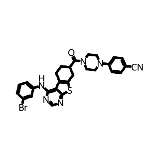 N#Cc1ccc(N2CCN(C(=O)C3CCc4c(sc5ncnc(Nc6cccc(Br)c6)c45)C3)CC2)cc1